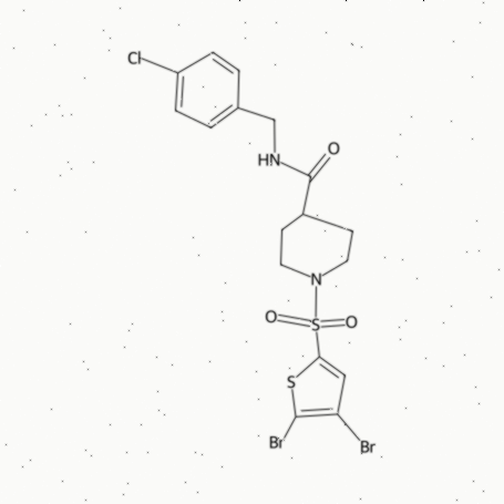 O=C(NCc1ccc(Cl)cc1)C1CCN(S(=O)(=O)c2cc(Br)c(Br)s2)CC1